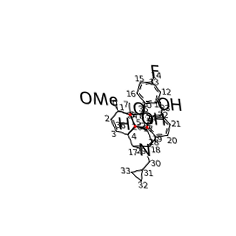 CO[C@]12C=CC3(CC1(C)[C@@H](O)c1ccc(F)cc1)C1Cc4ccc(O)c5c4[C@@]3(CCN1CC1CC1)[C@@H]2O5